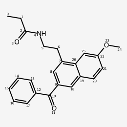 CCC(=O)NCCc1cc(C(=O)c2ccccc2)cc2ccc(OC)cc12